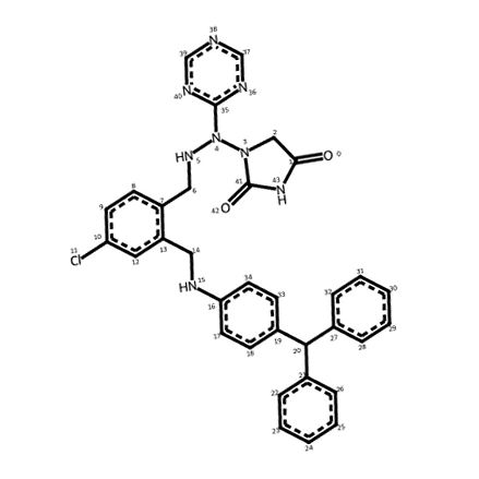 O=C1CN(N(NCc2ccc(Cl)cc2CNc2ccc(C(c3ccccc3)c3ccccc3)cc2)c2ncncn2)C(=O)N1